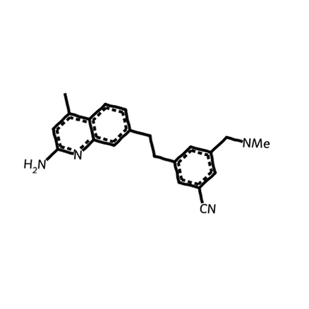 CNCc1cc(C#N)cc(CCc2ccc3c(C)cc(N)nc3c2)c1